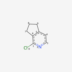 Clc1nccc2c1CCC2